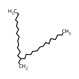 [CH2]CC(CCCCCCCCCCCCC)CCCCCCCCCCCCCC